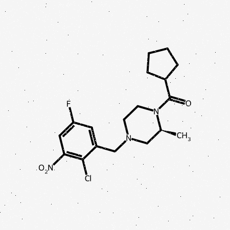 C[C@H]1CN(Cc2cc(F)cc([N+](=O)[O-])c2Cl)CCN1C(=O)C1CCCC1